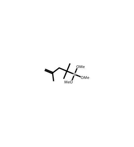 C=C(C)CC(C)(C)[Si](OC)(OC)OC